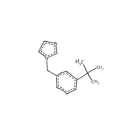 CC(C)(C)c1cccc(Cn2ccnc2)c1